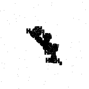 CC(C)c1ccccc1C1COCCN1C1CC2(CCN(c3ccc(C(=O)NS(=O)(=O)c4cc([N+](=O)[O-])c5c(n4)NCC(CC4CCC(C)(O)CC4)O5)c(Oc4cnc5[nH]ccc5c4)c3)CC2)C1